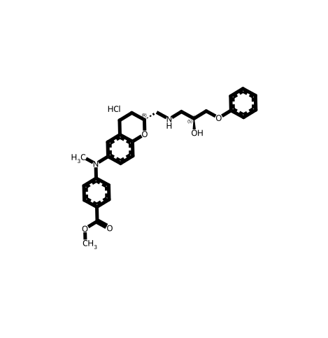 COC(=O)c1ccc(N(C)c2ccc3c(c2)CC[C@H](CNC[C@H](O)COc2ccccc2)O3)cc1.Cl